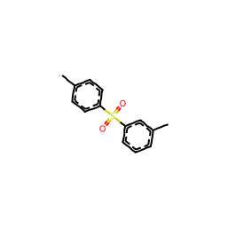 [CH2]c1ccc(S(=O)(=O)c2cccc(C)c2)cc1